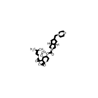 CO[C@H]1C([C@@]2(C)O[C@@H]2CC=C(C)C)[C@]2(CC[C@H]1OC(=O)N1C[C@H]3CC(CN4CCOCC4)C[C@H]3C1)CO2